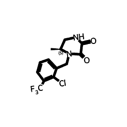 C[C@H]1CNC(=O)C(=O)N1Cc1cccc(C(F)(F)F)c1Cl